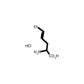 CCC=CCC(N)C(=O)O.Cl